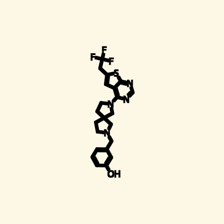 Oc1cccc(CN2CCC3(CCN(c4ncnc5sc(CC(F)(F)F)cc45)C3)C2)c1